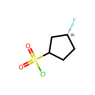 O=S(=O)(Cl)C1CC[C@@H](F)C1